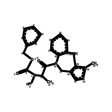 CCCN(C(=O)OCc1ccccc1)C(C)C(=O)N1Cc2cnn(C)c2Nc2ccccc21